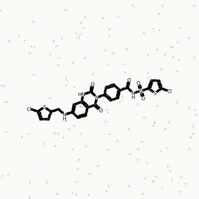 O=C(NS(=O)(=O)c1ccc(Cl)s1)c1ccc(-n2c(=O)[nH]c3cc(NCC4CC=C(Cl)S4)ccc3c2=O)cc1